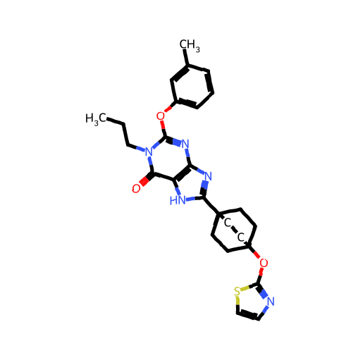 CCCn1c(Oc2cccc(C)c2)nc2nc(C34CCC(Oc5nccs5)(CC3)CC4)[nH]c2c1=O